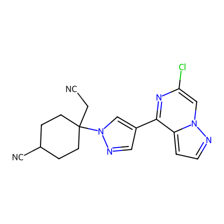 N#CCC1(n2cc(-c3nc(Cl)cn4nccc34)cn2)CCC(C#N)CC1